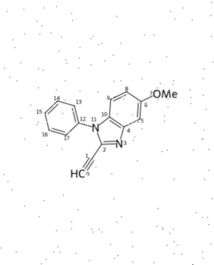 C#Cc1nc2cc(OC)ccc2n1-c1ccccc1